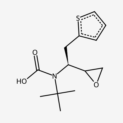 CC(C)(C)N(C(=O)O)[C@@H](Cc1cccs1)C1CO1